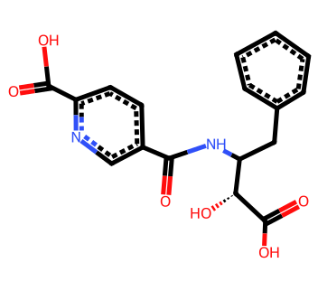 O=C(NC(Cc1ccccc1)[C@@H](O)C(=O)O)c1ccc(C(=O)O)nc1